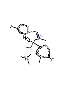 C/C(=C/c1ccc(F)cc1)C(O)(c1ccc(F)c(C)c1)C(C)CN(C)C